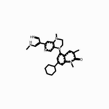 CN/C=C(\C=N)c1cc2c(cn1)N(c1cc(C3CCCCC3)cc3c1cc(C)c(=O)n3C)CCN2C